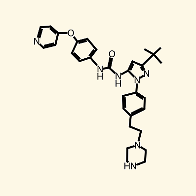 CC(C)(C)c1cc(NC(=O)Nc2ccc(Oc3ccncc3)cc2)n(-c2ccc(CCN3CCNCC3)cc2)n1